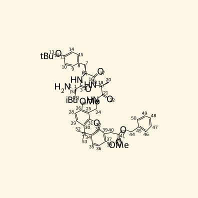 CC[C@H](C)[C@H](N)C(=O)N[C@@H](Cc1ccc(OC(C)(C)C)cc1)C(=O)N[C@@H](C)C(=O)NCc1c(OC)ccc2c1Oc1c(ccc(OC)c1CC(=O)OCc1ccccc1)C2(C)C